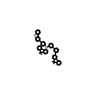 CC1(C)c2ccccc2-c2cc(-c3cccc(-c4cccc(N(c5ccc(-c6ccc7sc8ccccc8c7c6)cc5)c5cccc6c5-c5ccccc5C6(C)C)c4)c3)ccc21